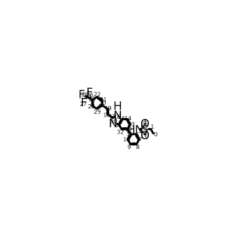 CCS(=O)(=O)Nc1ccccc1-c1ccc2[nH]c(/C=C/c3ccc(C(F)(F)F)cc3)nc2c1